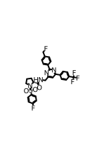 O=C(NCc1cc(-c2ccc(C(F)(F)F)cc2)nc(-c2ccc(CF)cc2)n1)[C@@H]1CCCN1S(=O)(=O)c1ccc(F)cc1